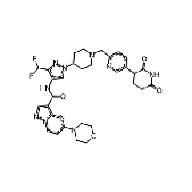 O=C1CCC(c2ccc(CN3CCC(n4cc(NC(=O)c5cnn6ccc(N7CCOCC7)nc56)c(C(F)F)n4)CC3)nc2)C(=O)N1